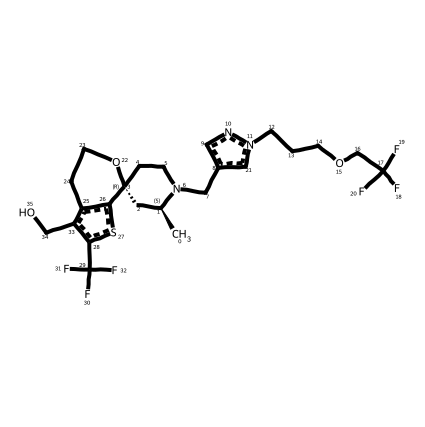 C[C@H]1C[C@@]2(CCN1Cc1cnn(CCCOCC(F)(F)F)c1)OCCc1c2sc(C(F)(F)F)c1CO